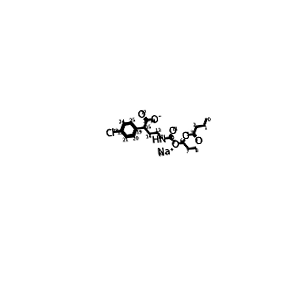 CCCC(=O)OC(CC)OC(=O)NCCC(C(=O)[O-])c1ccc(Cl)cc1.[Na+]